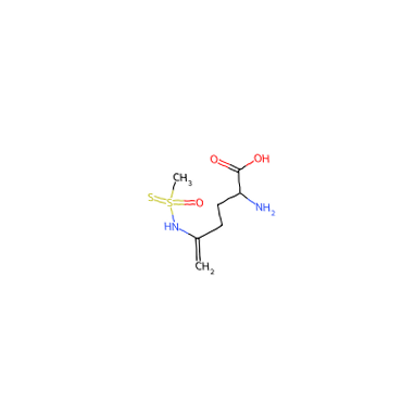 C=C(CCC(N)C(=O)O)NS(C)(=O)=S